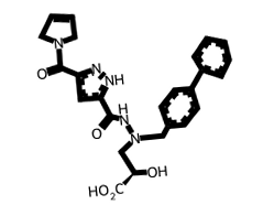 O=C(NN(Cc1ccc(-c2ccccc2)cc1)C[C@@H](O)C(=O)O)c1cc(C(=O)N2CC=CC2)n[nH]1